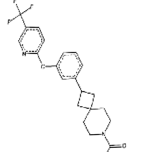 O=C(O)N1CCC2(CC1)CC(c1cccc(Oc3ccc(C(F)(F)F)cn3)c1)C2